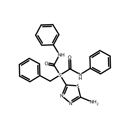 Nc1nnc(S(Cc2ccccc2)(C(=O)Nc2ccccc2)C(=O)Nc2ccccc2)s1